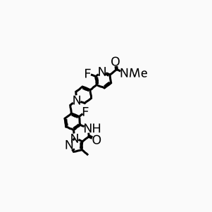 CNC(=O)c1ccc(C2=CCN(Cc3ccc4c([nH]c(=O)c5c(C)cnn54)c3F)CC2)c(F)n1